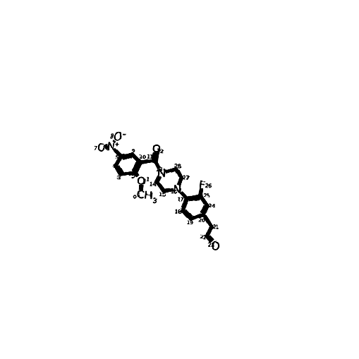 COc1ccc([N+](=O)[O-])cc1C(=O)N1CCN(c2ccc(CC=O)cc2F)CC1